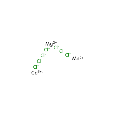 [Cl-].[Cl-].[Cl-].[Cl-].[Cl-].[Cl-].[Cl-].[Gd+3].[Mg+2].[Mn+2]